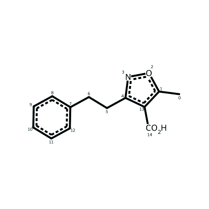 Cc1onc(CCc2ccccc2)c1C(=O)O